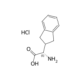 Cl.N[C@H](C(=O)O)C1Cc2ccccc2C1